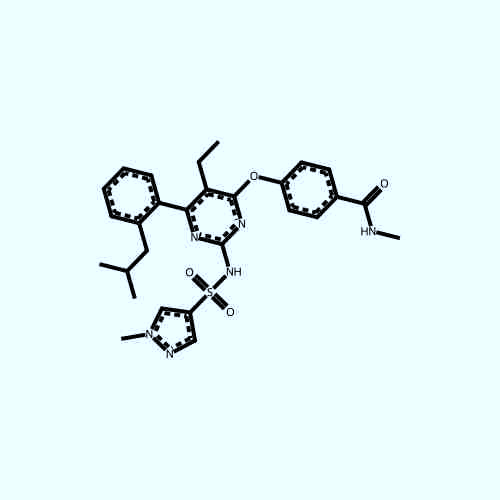 CCc1c(Oc2ccc(C(=O)NC)cc2)nc(NS(=O)(=O)c2cnn(C)c2)nc1-c1ccccc1CC(C)C